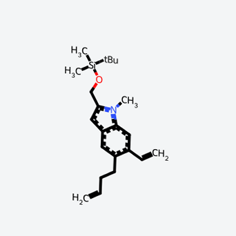 C=CCCc1cc2cc(CO[Si](C)(C)C(C)(C)C)n(C)c2cc1C=C